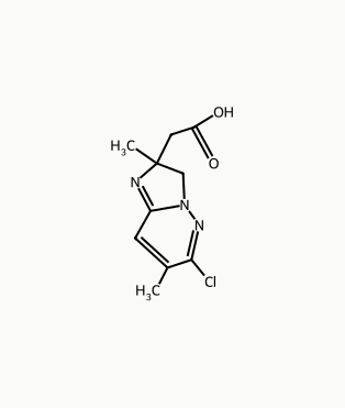 CC1=CC2=NC(C)(CC(=O)O)CN2N=C1Cl